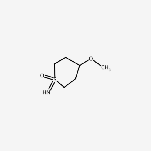 COC1CCS(=N)(=O)CC1